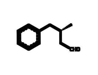 C[C@H](CC=O)Cc1ccccc1